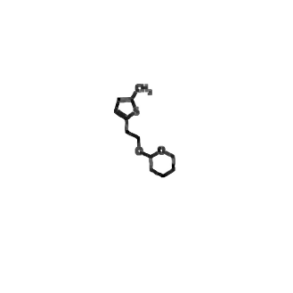 Cc1ccc(CCOC2CCCCO2)s1